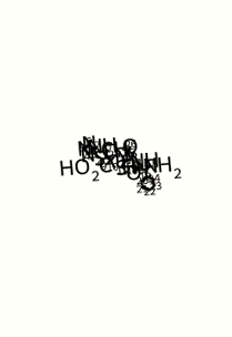 CC(Sc1nnn[nH]1)C1(C(=O)O)CS[C@@H]2C(NC(=O)C(N)c3ccccc3)C(=O)N2C1